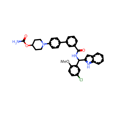 COc1ccc(Cl)cc1C(NC(=O)c1cccc(-c2ccc(N3CCC(OC(N)=O)CC3)cc2)c1)c1cc2ccccc2[nH]1